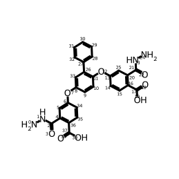 NNC(=O)c1cc(Oc2ccc(Oc3ccc(C(=O)O)c(C(=O)NN)c3)c(-c3ccccc3)c2)ccc1C(=O)O